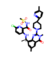 Cc1ccc(C2CCN(c3nc4c([C@@H](C)Nc5ccc(Cl)nc5C(=O)NS(C)(=O)=O)cc(C)cc4c(=O)n3C)CC2)nc1